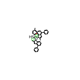 CC1=Cc2c(-c3ccccc3)cccc2[CH]1[Zr]([Cl])([Cl])(=[SiH]c1ccc(C)cc1)[CH]1C(C)=Cc2c(-c3ccccc3)cccc21